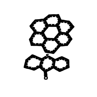 O=c1c2ccccc2sc2ccccc12.c1cc2ccc3ccc4ccc5ccc6ccc1c1c2c3c4c5c61